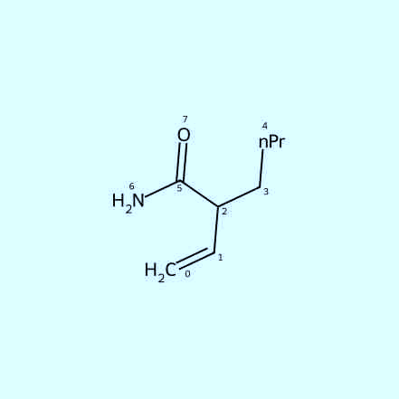 C=CC(CCCC)C(N)=O